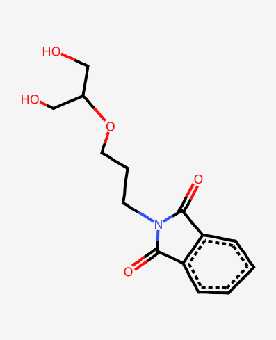 O=C1c2ccccc2C(=O)N1CCCOC(CO)CO